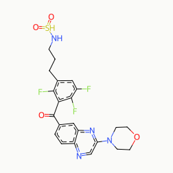 O=C(c1ccc2ncc(N3CCOCC3)nc2c1)c1c(F)c(F)cc(CCCN[SH](=O)=O)c1F